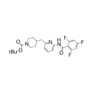 CC(C)(C)OC(=O)N1CCC(Cc2cccc(NC(=O)c3c(F)cc(F)cc3F)n2)CC1